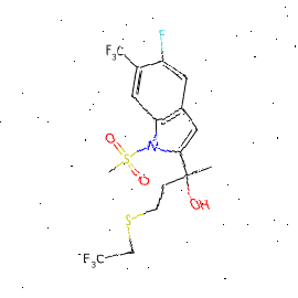 CC(O)(CCSCC(F)(F)F)c1cc2cc(F)c(C(F)(F)F)cc2n1S(C)(=O)=O